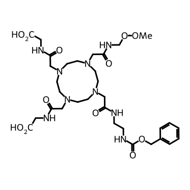 COOCNC(=O)CN1CCN(CC(=O)NCCNC(=O)OCc2ccccc2)CCN(CC(=O)NCC(=O)O)CCN(CC(=O)NCC(=O)O)CC1